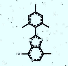 Cc1cc(C)c(-c2nc3c(C)cnc(O)c3s2)c(C)c1